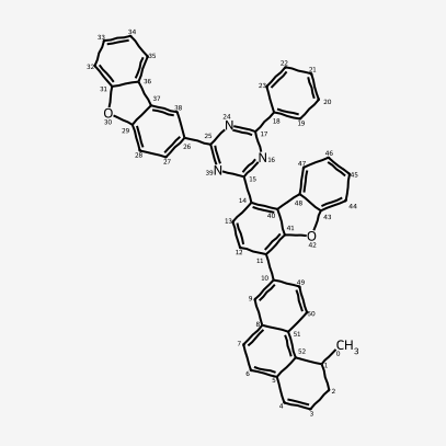 CC1CC=Cc2ccc3cc(-c4ccc(-c5nc(-c6ccccc6)nc(-c6ccc7oc8ccccc8c7c6)n5)c5c4oc4ccccc45)ccc3c21